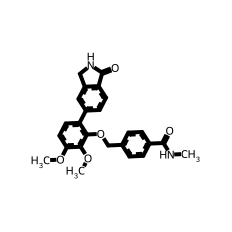 CNC(=O)c1ccc(COc2c(-c3ccc4c(c3)CNC4=O)ccc(OC)c2OC)cc1